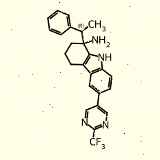 C[C@H](c1ccccc1)C1(N)CCCc2c1[nH]c1ccc(-c3cnc(C(F)(F)F)nc3)cc21